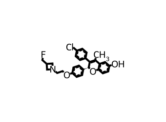 CC1=C(c2ccc(Cl)cc2)[C@@H](c2ccc(OCCN3CC(CF)C3)cc2)Oc2ccc(O)cc21